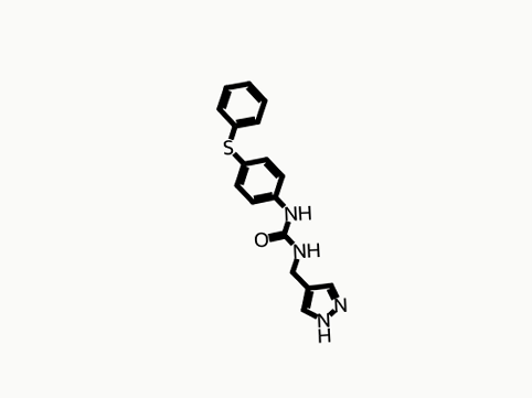 O=C(NCc1cn[nH]c1)Nc1ccc(Sc2ccccc2)cc1